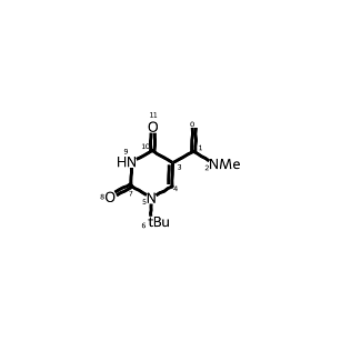 C=C(NC)c1cn(C(C)(C)C)c(=O)[nH]c1=O